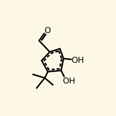 CC(C)(C)c1cc(C=O)cc(O)c1O